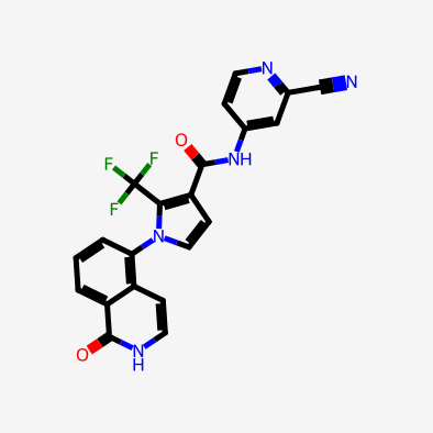 N#Cc1cc(NC(=O)c2ccn(-c3cccc4c(=O)[nH]ccc34)c2C(F)(F)F)ccn1